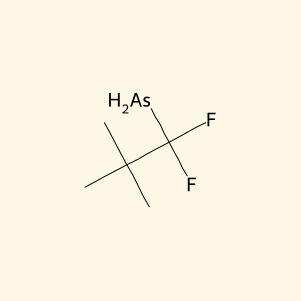 CC(C)(C)C(F)(F)[AsH2]